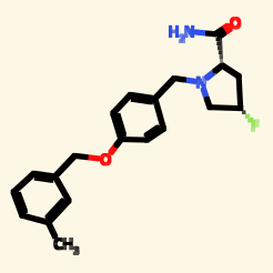 Cc1cccc(COc2ccc(CN3C[C@@H](F)C[C@H]3C(N)=O)cc2)c1